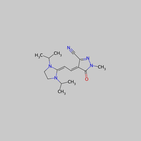 CC(C)N1CCN(C(C)C)C1=C/C=C1/C(=O)N(C)N=C1C#N